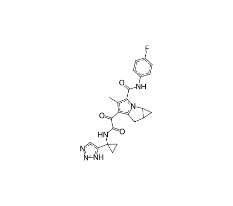 Cc1c(C(=O)C(=O)NC2(c3cnn[nH]3)CC2)c2n(c1C(=O)Nc1ccc(F)cc1)C1CC1C2